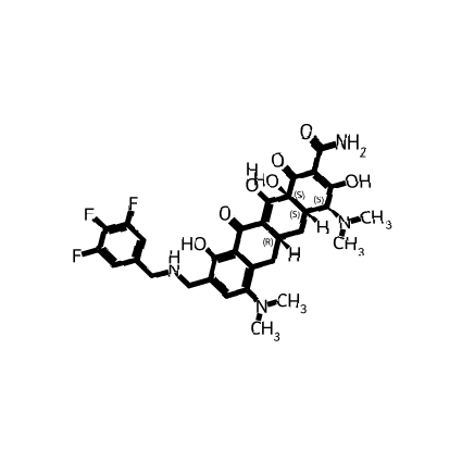 CN(C)c1cc(CNCc2cc(F)c(F)c(F)c2)c(O)c2c1C[C@H]1C[C@H]3[C@H](N(C)C)C(O)=C(C(N)=O)C(=O)[C@@]3(O)C(O)=C1C2=O